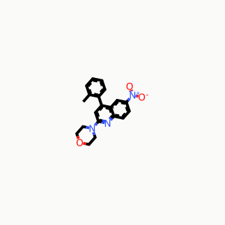 Cc1ccccc1-c1cc(N2CCOCC2)nc2ccc([N+](=O)[O-])cc12